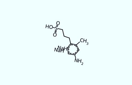 Cc1cc(N)ccc1CCCS(=O)(=O)O.[NaH].[NaH]